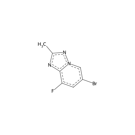 Cc1nc2c(F)cc(Br)cn2n1